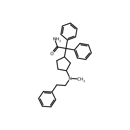 CN(CCc1ccccc1)C1CCC(C(C(N)=O)(c2ccccc2)c2ccccc2)C1